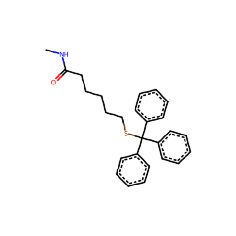 CNC(=O)CCCCCSC(c1ccccc1)(c1ccccc1)c1ccccc1